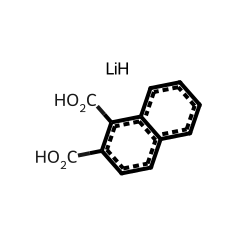 O=C(O)c1ccc2ccccc2c1C(=O)O.[LiH]